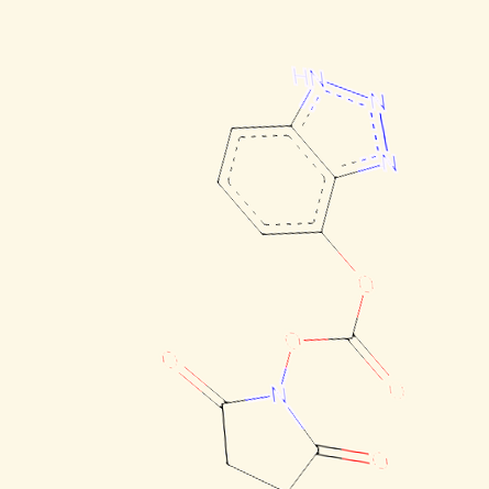 O=C(Oc1cccc2[nH]nnc12)ON1C(=O)CCC1=O